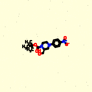 CC(C)(C)OC(=O)N1CCN(c2ccc([N+](=O)[O-])cc2)C[C@H]1CO